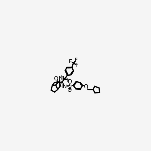 NC1CC2CCC(C1)C2C(=O)[C@H](NS(=O)(=O)c1ccc(OCC2CCCC2)cc1)C(F)(F)c1ccc(C(F)(F)F)cc1